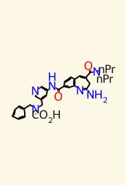 CCCN(CCC)C(=O)C1=Cc2ccc(C(=O)Nc3cncc(CN(Cc4ccccc4)C(=O)O)c3)cc2N=C(N)C1